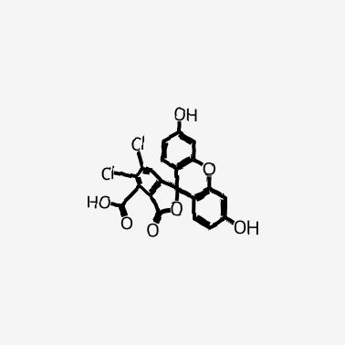 O=C1OC2(c3ccc(O)cc3Oc3cc(O)ccc32)c2cc(Cl)c(Cl)c(C(=O)O)c21